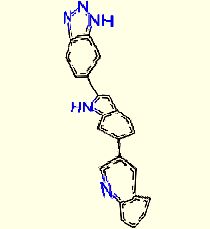 c1ccc2ncc(-c3ccc4cc(-c5ccc6nn[nH]c6c5)[nH]c4c3)cc2c1